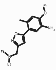 CCN(CC)Cc1cc(-c2cc(N)c(OC(C)C)cc2C)on1